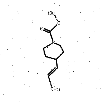 CC(C)(C)OC(=O)N1CCC(/C=C/C=O)CC1